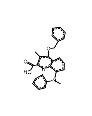 Cc1c(C(=O)O)nc2c(N(C)c3ccccc3)cccc2c1OCc1ccccc1